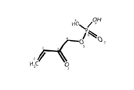 C=CC(=O)COP(=O)(O)O